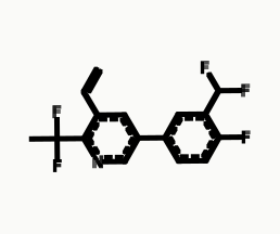 C=Cc1cc(-c2ccc(F)c(C(F)F)c2)cnc1C(C)(F)F